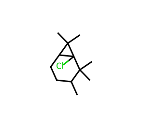 CC1CCC2C(C)(C)C2(Cl)C1(C)C